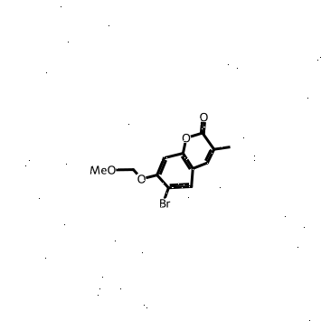 COCOc1cc2oc(=O)c(C)cc2cc1Br